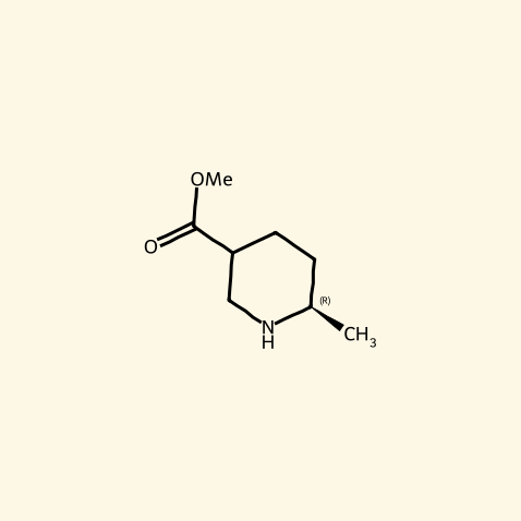 COC(=O)C1CC[C@@H](C)NC1